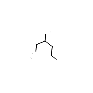 N.O=C(O)C(CO)CCO